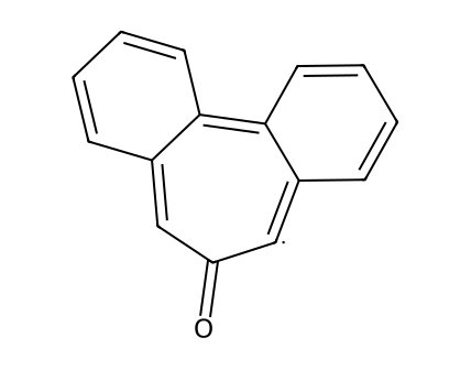 O=c1[c]c2ccccc2c2ccccc2c1